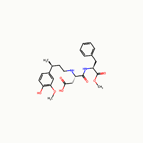 COC(=O)[C@H](Cc1ccccc1)NC(=O)[C@H](CC(=O)O)NCC[C@H](C)c1ccc(O)c(OC)c1